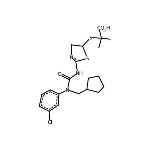 CC(C)(SC1CN=C(NC(=O)N(CC2CCCC2)c2cccc(Cl)c2)S1)C(=O)O